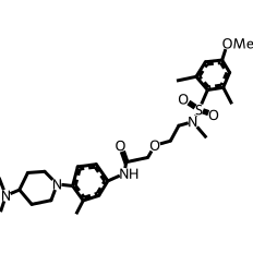 COc1cc(C)c(S(=O)(=O)N(C)CCOCC(=O)Nc2ccc(N3CCC(N(C)C)CC3)c(C)c2)c(C)c1